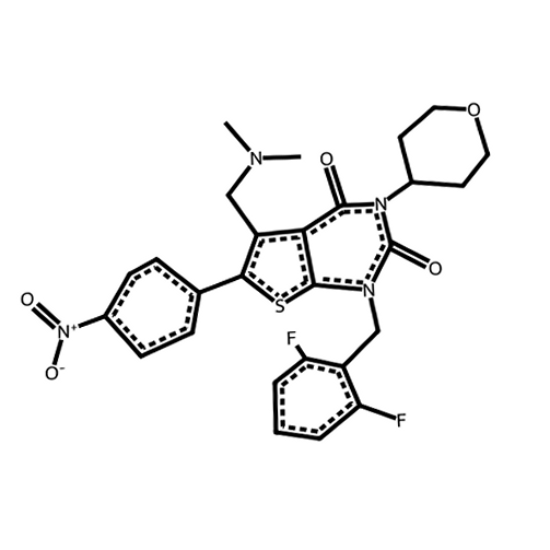 CN(C)Cc1c(-c2ccc([N+](=O)[O-])cc2)sc2c1c(=O)n(C1CCOCC1)c(=O)n2Cc1c(F)cccc1F